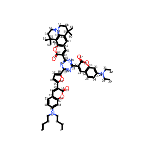 CCCCN(CCCC)c1ccc2cc(-c3ccc(-c4nc(-c5cc6ccc(N(CC)CC)cc6oc5=O)nc(-c5cc6cc7c8c(c6oc5=O)C(C)(C)CCN8CCC7(C)C)n4)o3)c(=O)oc2c1